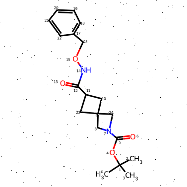 CC(C)(C)OC(=O)N1CC2(CC(C(=O)NOCc3ccccc3)C2)C1